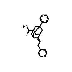 O=C(O)C12CC3CC(c4ccccc4)(CC(C1)C3=CCc1ccccc1)C2